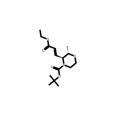 CCOC(=O)C=C[C@H]1[C@H](C)OCCN1C(=O)OC(C)(C)C